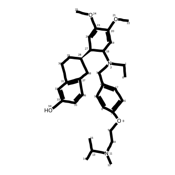 CCN(Cc1ccc(OCCN(C)C(C)C)cc1)C1C=C(OC)C(OC)=CC1[C@@H]1CCc2cc(O)ccc2C1